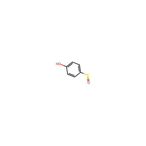 O=[S+]c1ccc(O)cc1